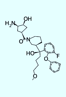 COCCCC[C@@](O)(c1cccc(F)c1Oc1ccccc1)[C@@H]1CCCN(C(=O)[C@H]2C[C@@H](N)[C@@H](O)C2)C1